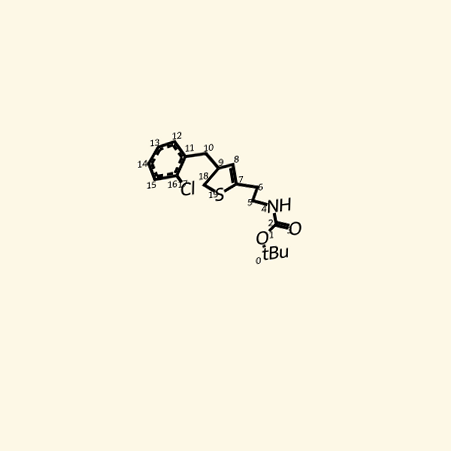 CC(C)(C)OC(=O)NCCC1=CC(Cc2ccccc2Cl)CS1